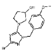 COc1ccc(Cn2nc(Br)nc2N2CCC(O)C2)cc1